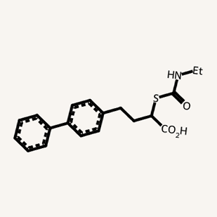 CCNC(=O)SC(CCc1ccc(-c2ccccc2)cc1)C(=O)O